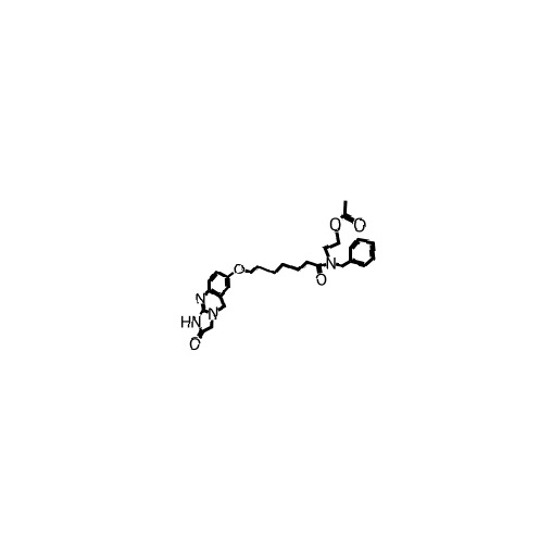 CC(=O)OCCN(Cc1ccccc1)C(=O)CCCCCCOc1ccc2c(c1)CN1CC(=O)NC1=N2